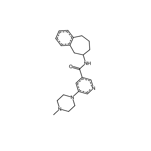 CN1CCN(c2cncc(C(=O)NC3CCCc4ccccc4C3)c2)CC1